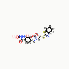 O=C(NO)c1ccc(CN(CCSc2nc3ccccc3s2)C(=O)O)cc1